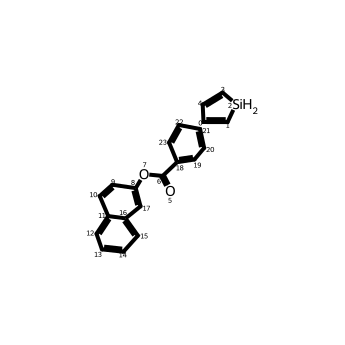 C1=C[SiH2]C=C1.O=C(Oc1ccc2ccccc2c1)c1ccccc1